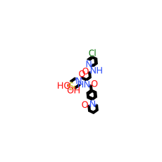 O=C(CC(NC(=O)c1ccc(N2CCCCC2=O)cc1)C(=O)N1CCS(O)(O)CC1)Nc1ccc(Cl)cn1